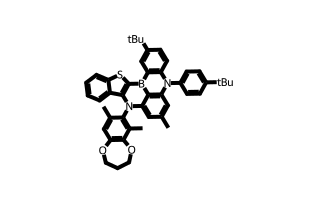 Cc1cc2c3c(c1)N(c1c(C)cc4c(c1C)OCCCO4)c1c(sc4ccccc14)B3c1cc(C(C)(C)C)ccc1N2c1ccc(C(C)(C)C)cc1